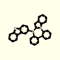 c1ccc2c(c1)-c1ccccc1-n1c(cc3ccccc31)N2c1ccc2oc3ccccc3c2c1